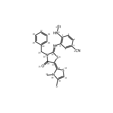 CCNc1ccc(C#N)cc1N=C1SC(=C2SC=C(C)N2C)C(=O)N1Cc1ccccc1